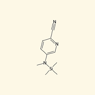 CN(c1ccc(C#N)nc1)[Si](C)(C)C